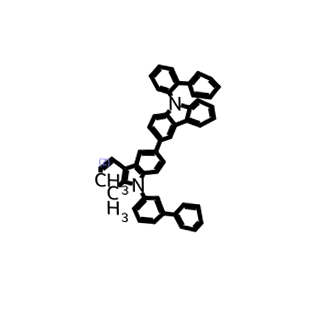 C/C=C\c1c(C)n(-c2cccc(-c3ccccc3)c2)c2ccc(-c3ccc4c(c3)c3ccccc3n4-c3ccccc3-c3ccccc3)cc12